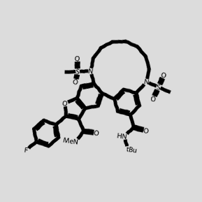 CNC(=O)c1c(-c2ccc(F)cc2)oc2cc3c(cc12)-c1cc(C(=O)NC(C)(C)C)cc(c1)N(S(C)(=O)=O)CCCCCCCN3S(C)(=O)=O